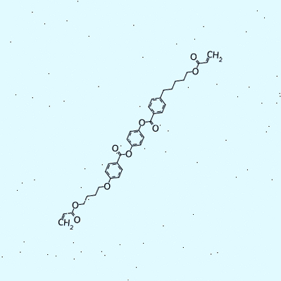 C=CC(=O)OCCCCCc1ccc(C(=O)Oc2ccc(OC(=O)c3ccc(OCCCCOC(=O)C=C)cc3)cc2)cc1